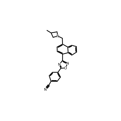 CC1CN(Cc2ccc(-c3noc(-c4ccc(C#N)cc4)n3)c3ccccc23)C1